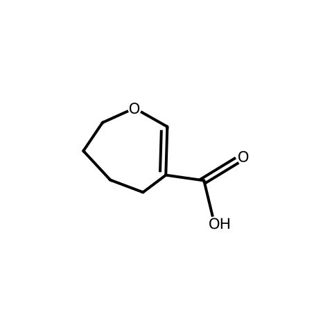 O=C(O)C1=COCCCC1